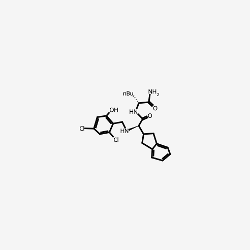 CCCC[C@@H](NC(=O)[C@H](NCc1c(O)cc(Cl)cc1Cl)C1Cc2ccccc2C1)C(N)=O